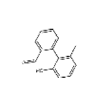 Cc1cccc(O)c1-c1ccccc1C=O